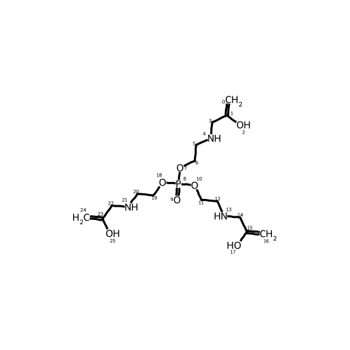 C=C(O)CNCCOP(=O)(OCCNCC(=C)O)OCCNCC(=C)O